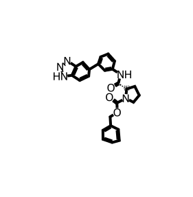 O=C(Nc1cccc(-c2ccc3[nH]nnc3c2)c1)[C@@H]1CCCN1C(=O)OCc1ccccc1